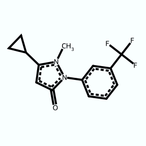 Cn1c(C2CC2)cc(=O)n1-c1cccc(C(F)(F)F)c1